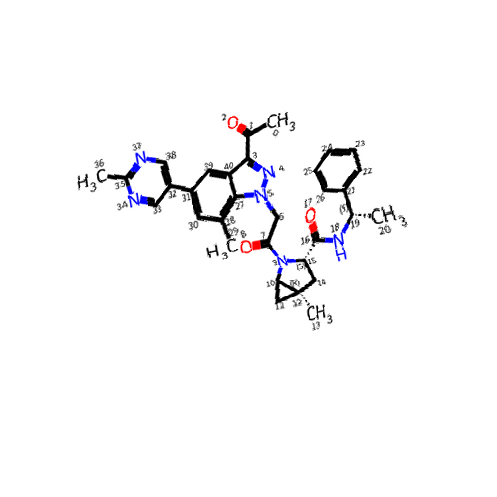 CC(=O)c1nn(CC(=O)N2C3C[C@]3(C)C[C@H]2C(=O)N[C@@H](C)c2ccccc2)c2c(C)cc(-c3cnc(C)nc3)cc12